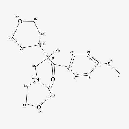 CSc1ccc(C(=O)C(C)(CN2CCOCC2)N2CCOCC2)cc1